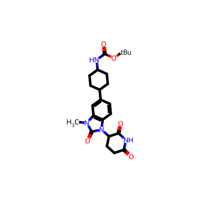 Cn1c(=O)n(C2CCC(=O)NC2=O)c2ccc(C3CCC(NC(=O)OC(C)(C)C)CC3)cc21